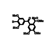 COc1cc(C(=O)c2cc(OC)c(Br)c(OC)c2)c(C(OC)OC)cc1OC